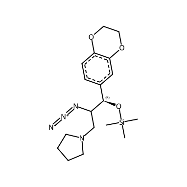 C[Si](C)(C)O[C@H](c1ccc2c(c1)OCCO2)C(CN1CCCC1)N=[N+]=[N-]